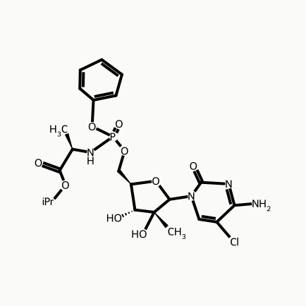 CC(C)OC(=O)[C@@H](C)NP(=O)(OC[C@H]1OC(n2cc(Cl)c(N)nc2=O)[C@](C)(O)[C@@H]1O)Oc1ccccc1